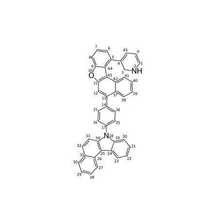 C1=CNCC(c2cccc3oc4cc(-c5ccc(-n6c7ccccc7c7c8ccccc8ccc76)cc5)c5ccccc5c4c23)=C1